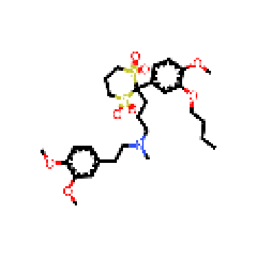 CCCCOc1cc(C2(CCCN(C)CCc3ccc(OC)c(OC)c3)S(=O)(=O)CCCS2(=O)=O)ccc1OC